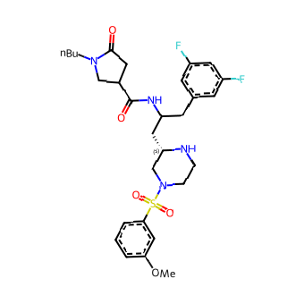 CCCCN1CC(C(=O)NC(Cc2cc(F)cc(F)c2)C[C@H]2CN(S(=O)(=O)c3cccc(OC)c3)CCN2)CC1=O